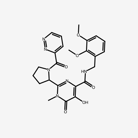 COc1cccc(CNC(=O)c2nc(C3CCCN3C(=O)c3cccnn3)n(C)c(=O)c2O)c1OC